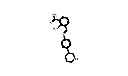 NC(=O)c1cccc(/C=N/c2ccc(C3CCCNC3)cc2)c1N